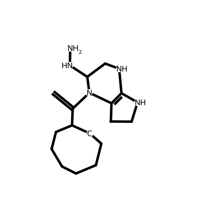 C=C(C1CCCCCCC1)N1C2=C(NCC2)NCC1NN